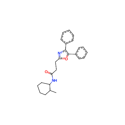 CC1CCCCC1NC(=O)CCc1nc(-c2ccccc2)c(-c2ccccc2)o1